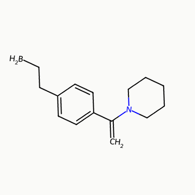 BCCc1ccc(C(=C)N2CCCCC2)cc1